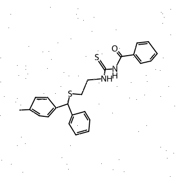 Cc1ccc(C(SCCNC(=S)NC(=O)c2ccccc2)c2ccccc2)cc1